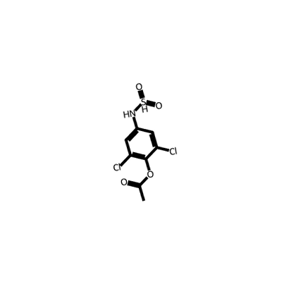 CC(=O)Oc1c(Cl)cc(N[SH](=O)=O)cc1Cl